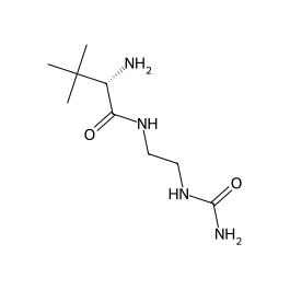 CC(C)(C)[C@H](N)C(=O)NCCNC(N)=O